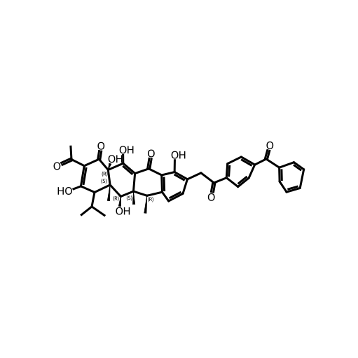 CC(=O)C1=C(O)C(C(C)C)[C@@]2(C)[C@H](O)[C@]3(C)C(=C(O)[C@@]2(O)C1=O)C(=O)c1c(ccc(CC(=O)c2ccc(C(=O)c4ccccc4)cc2)c1O)[C@H]3C